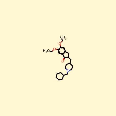 CCOc1cc2c(cc1OCC)C(=O)C(CC1CCN(CC3CCCCC3)CC1)C2